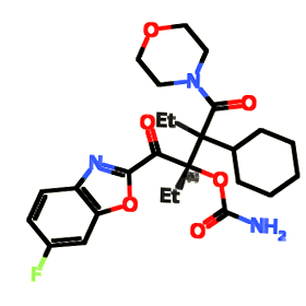 CCC(C(=O)N1CCOCC1)(C1CCCCC1)[C@](CC)(OC(N)=O)C(=O)c1nc2ccc(F)cc2o1